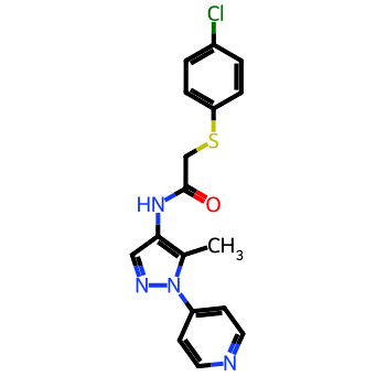 Cc1c(NC(=O)CSc2ccc(Cl)cc2)cnn1-c1ccncc1